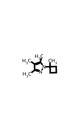 Cc1nn(C2(C)CCC2)c(C)c1C